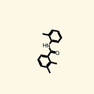 Cc1ccccc1NC(=O)c1cccc(C)c1C